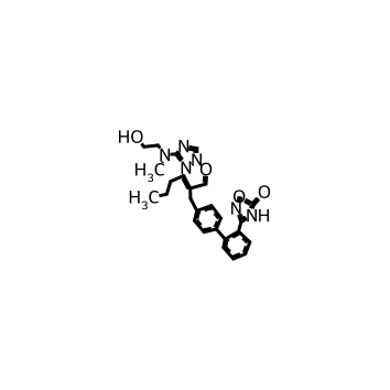 CCC/C(=C(/C=O)Cc1ccc(-c2ccccc2-c2noc(=O)[nH]2)cc1)n1ncnc1N(C)CCO